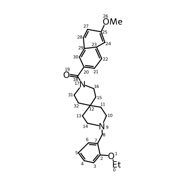 CCOc1ccccc1CN1CCC2(CC1)CCN(C(=O)c1ccc3cc(OC)ccc3c1)CC2